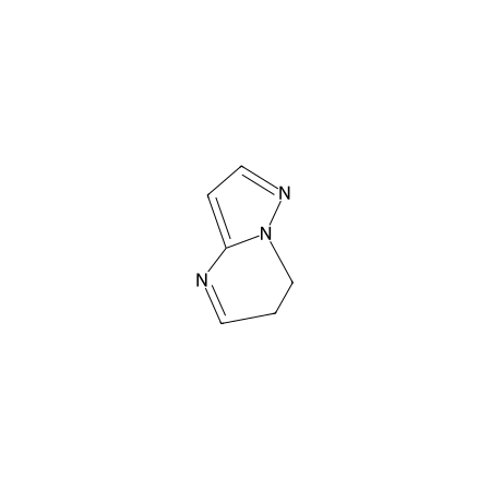 C1=Nc2ccnn2CC1